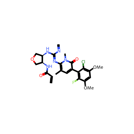 C=CC(=O)N[C@H]1COC[C@H]1N/C(N=C)=N/c1c(C)cc(-c2c(F)c(OC)cc(OC)c2Cl)c(=O)n1C